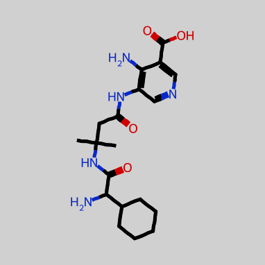 CC(C)(CC(=O)Nc1cncc(C(=O)O)c1N)NC(=O)C(N)C1CCCCC1